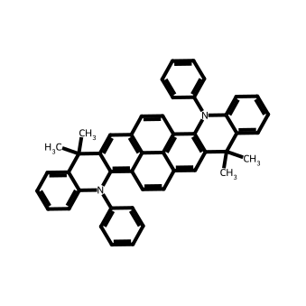 CC1(C)c2ccccc2N(c2ccccc2)c2c1cc1ccc3c4c(cc5ccc2c1c53)C(C)(C)c1ccccc1N4c1ccccc1